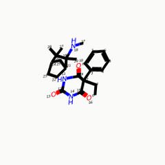 CCC1(c2ccccc2)C(=O)NC(=O)NC1=O.CNC1(C)C2CCC(C2)C1(C)C